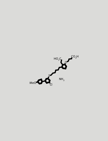 COc1ccc(-c2cc(Cl)cc(SCCCCCCc3cccc(OCCCC(=O)O)c3CCC(=O)O)c2)cc1.N